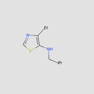 [CH2]Cc1ncsc1NCC(C)C